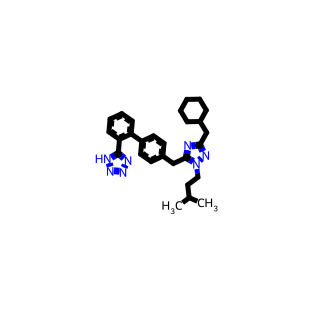 CC(C)CCn1nc(CC2CCCCC2)nc1Cc1ccc(-c2ccccc2-c2nnn[nH]2)cc1